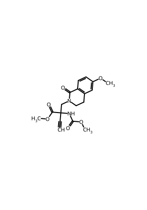 C#CC(CN1CCc2cc(OC)ccc2C1=O)(NC(=O)OC)C(=O)OC